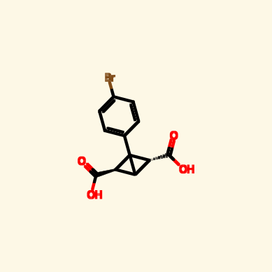 O=C(O)[C@@H]1C2[C@@H](C(=O)O)C21c1ccc(Br)cc1